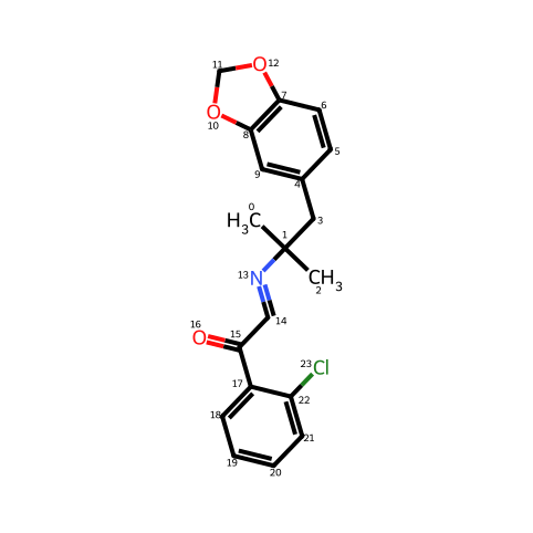 CC(C)(Cc1ccc2c(c1)OCO2)/N=C/C(=O)c1ccccc1Cl